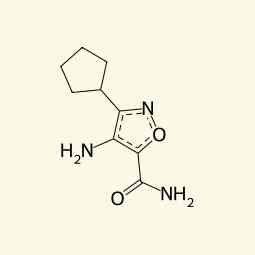 NC(=O)c1onc(C2CCCC2)c1N